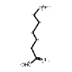 C=C([C]=O)CCCCCCCCCC